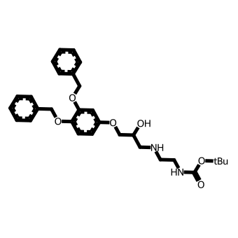 CC(C)(C)OC(=O)NCCNCC(O)COc1ccc(OCc2ccccc2)c(OCc2ccccc2)c1